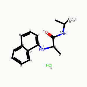 CC(NC(=O)C(C)Nc1cccc2ccccc12)C(=O)O.Cl